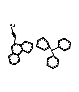 [Au][C]#Cc1cc2ccccc2c2ccccc12.c1ccc(P(c2ccccc2)c2ccccc2)cc1